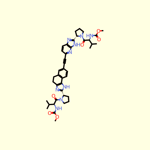 COC(=O)N[C@H](C(=O)N1CCC[C@H]1c1nc2c([nH]1)-c1ccc(C#Cc3ccc4nc([C@@H]5CCCN5C(=O)[C@@H](NC(=O)OC)C(C)C)[nH]c4n3)cc1CC2)C(C)C